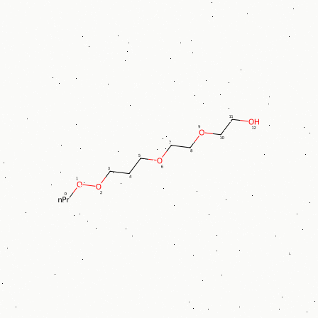 CCCOOCCCOCCOCCO